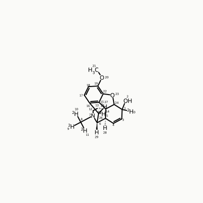 [2H]C1(O)C=C[C@H]2[C@@H]3N(C([2H])([2H])[2H])CC[C@@]24c2c(ccc(OC)c2OC14)C3([2H])[2H]